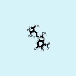 Cc1n[nH]c(C)c1CCn1c(C)nc2c([N+](=O)[O-])c(Cl)c(Cl)cc21